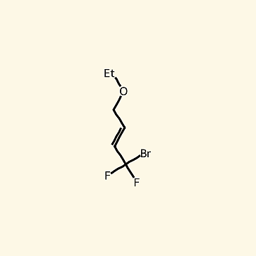 [CH2]COCC=CC(F)(F)Br